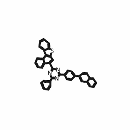 c1ccc(-c2nc(-c3ccc(-c4ccc5ccccc5c4)cc3)nc(-c3cc4sc5ccccc5c4c4ccccc34)n2)cc1